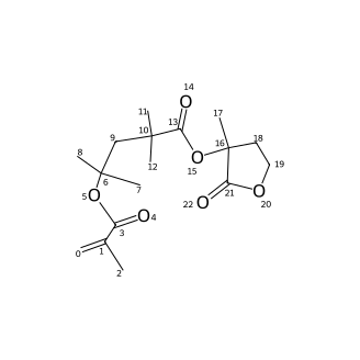 C=C(C)C(=O)OC(C)(C)CC(C)(C)C(=O)OC1(C)CCOC1=O